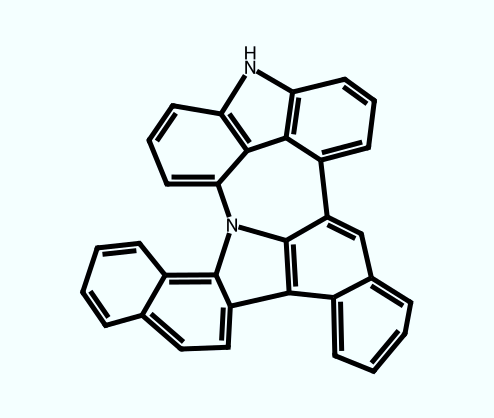 c1ccc2c(c1)cc1c3cccc4[nH]c5cccc(c5c43)n3c4c5ccccc5ccc4c2c13